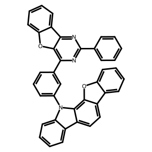 c1ccc(-c2nc(-c3cccc(-n4c5ccccc5c5ccc6c7ccccc7oc6c54)c3)c3oc4ccccc4c3n2)cc1